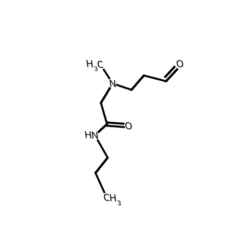 CCCNC(=O)CN(C)CCC=O